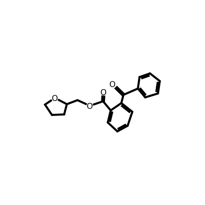 O=C(OCC1CCCO1)c1ccccc1C(=O)c1ccccc1